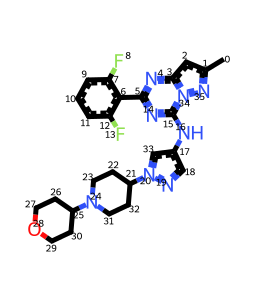 Cc1cc2nc(-c3c(F)cccc3F)nc(Nc3cnn(C4CCN(C5CCOCC5)CC4)c3)n2n1